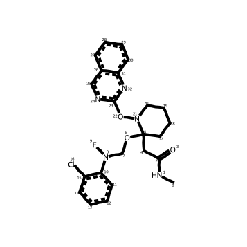 CNC(=O)CC1(OCN(F)c2ccccc2Cl)CCCCN1Oc1ncc2ccccc2n1